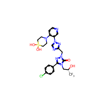 O=c1n(Cc2ncn(-c3cnccc3N3CCS(O)(O)CC3)n2)nc(-c2ccc(Cl)cc2)n1C[C@H](O)C(F)(F)F